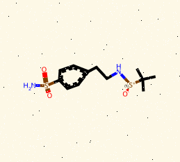 CC(C)(C)[S@@+]([O-])NCCc1ccc(S(N)(=O)=O)cc1